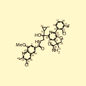 COc1cc(C(=O)NCC(O)(c2cc3c(c(-c4cccc(F)c4Cl)n2)OC[C@]3(C)C(N)=O)C2CC2)cc2cc(Cl)c(C)nc12